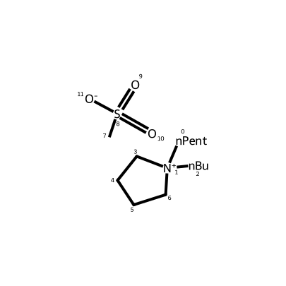 CCCCC[N+]1(CCCC)CCCC1.CS(=O)(=O)[O-]